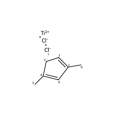 CC1=CCC(C)=C1.[Cl-].[Cl-].[Ti+2]